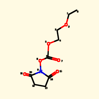 CCOCCOC(=O)ON1C(=O)CCC1=O